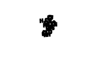 Cc1ccccc1N1C(=O)Nc2c(C(=O)NC3CCCNC3)sc3nccc1c23